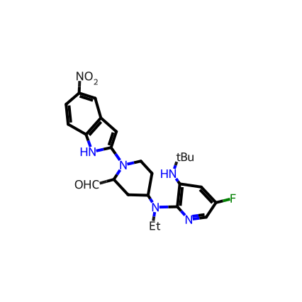 CCN(c1ncc(F)cc1NC(C)(C)C)C1CCN(c2cc3cc([N+](=O)[O-])ccc3[nH]2)C(C=O)C1